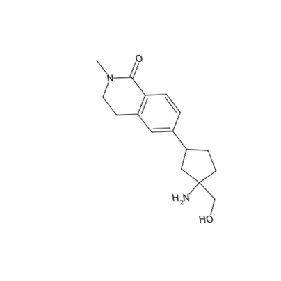 CN1CCc2cc(C3CCC(N)(CO)C3)ccc2C1=O